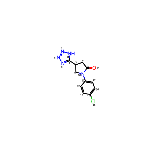 O=C1CC(c2nnn[nH]2)CN1c1ccc(Cl)cc1